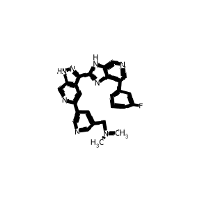 CN(C)Cc1cncc(-c2cc3c(-c4nc5c(-c6cccc(F)c6)cncc5[nH]4)n[nH]c3cn2)c1